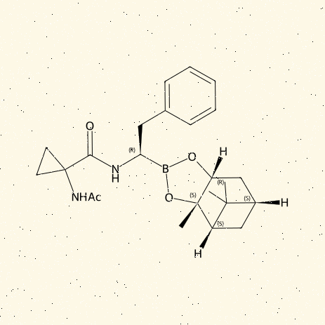 CC(=O)NC1(C(=O)N[C@@H](Cc2ccccc2)B2O[C@@H]3C[C@@H]4C[C@@H](C4(C)C)[C@]3(C)O2)CC1